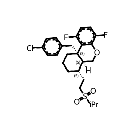 CC(C)S(=O)(=O)CC[C@@H]1CCC[C@@]2(Cc3ccc(Cl)cc3)c3c(F)ccc(F)c3OC[C@@H]12